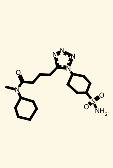 CN(C(=O)CCCc1nnnn1C1CCC(S(N)(=O)=O)CC1)C1CCCCC1